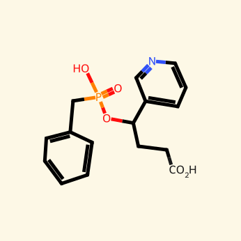 O=C(O)CCC(OP(=O)(O)Cc1ccccc1)c1cccnc1